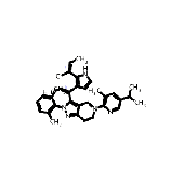 C/C=C(/c1cc[nH]c1/C(Cl)=C\C)c1c2c(nn1-c1c(C)cccc1C)CCN(c1ncc(C(C)C)cc1C)C2